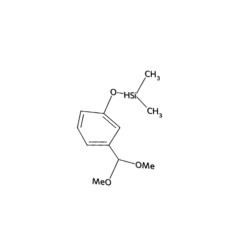 COC(OC)c1cccc(O[SiH](C)C)c1